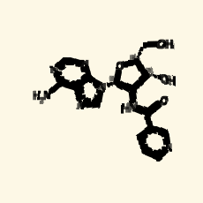 Nc1ncnc2c1ncn2[C@@H]1O[C@H](CO)[C@H](O)C1NC(=O)c1cccnc1